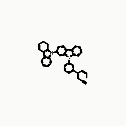 C#C/C=C(\C=C/C)c1cccc(-n2c3ccccc3c3ccc(-n4c5c(c6ccccc64)C=CCC5)cc32)c1